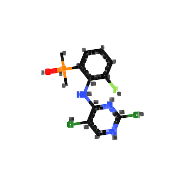 CP(C)(=O)c1cccc(F)c1Nc1nc(Cl)ncc1Cl